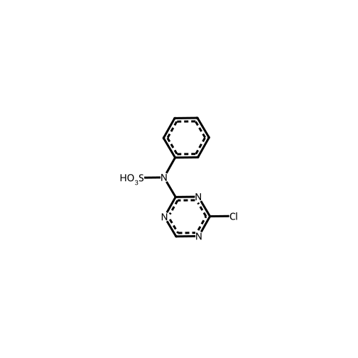 O=S(=O)(O)N(c1ccccc1)c1ncnc(Cl)n1